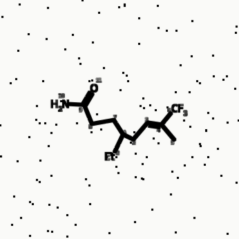 CCC(C/C=C(\C)C(F)(F)F)CCC(N)=O